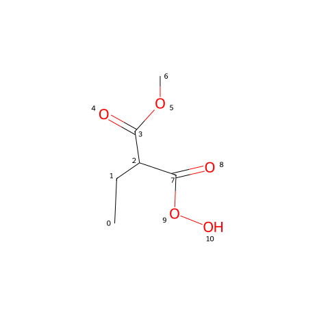 CCC(C(=O)OC)C(=O)OO